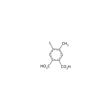 Cc1cc(C(=O)O)c(C(=O)O)cc1I